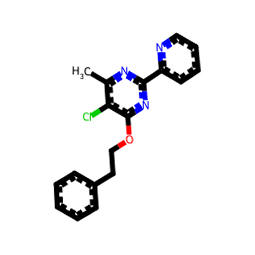 Cc1nc(-c2ccccn2)nc(OCCc2ccccc2)c1Cl